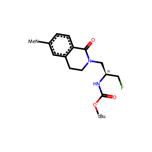 CNc1ccc2c(c1)CCN(C[C@@H](CF)NC(=O)OC(C)(C)C)C2=O